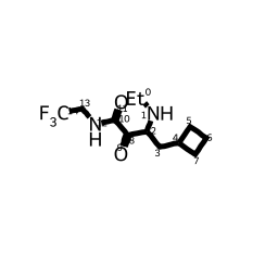 CCNC(CC1CCC1)C(=O)C(=O)NCC(F)(F)F